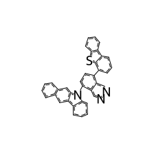 c1ccc2cc3c(cc2c1)c1ccccc1n3-c1ccc(-c2cccc3c2sc2ccccc23)c2cnncc12